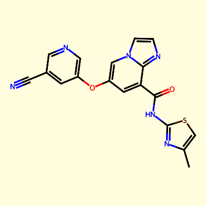 Cc1csc(NC(=O)c2cc(Oc3cncc(C#N)c3)cn3ccnc23)n1